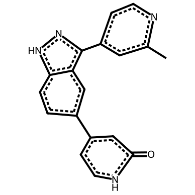 Cc1cc(-c2n[nH]c3ccc(-c4cc[nH]c(=O)c4)cc23)ccn1